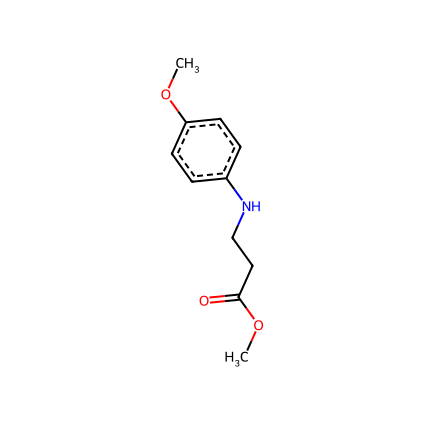 COC(=O)CCNc1ccc(OC)cc1